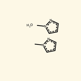 Cn1cccn1.Cn1cccn1.O